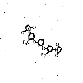 O=C1C=CC(=O)N1c1ccc(Oc2cccc(Oc3ccc(N4C(=O)C=CC4=O)cc3C(F)(F)F)c2)c(C(F)(F)F)c1